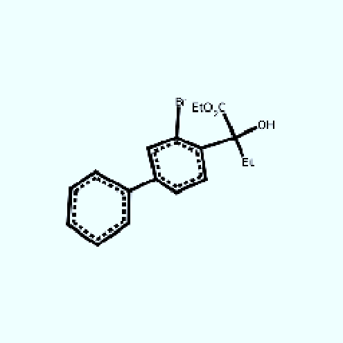 CCOC(=O)C(O)(CC)c1ccc(-c2ccccc2)cc1Br